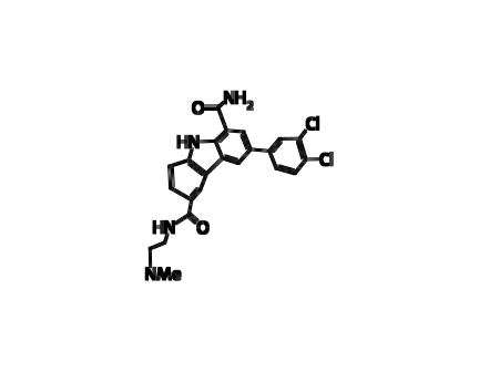 CNCCNC(=O)c1ccc2[nH]c3c(C(N)=O)cc(-c4ccc(Cl)c(Cl)c4)cc3c2c1